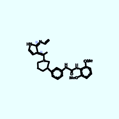 C=C/N=C1/NC=C/C1=C(/C)N1CCCC(c2cccc(NC(=O)Nc3c(OC)cccc3OC)c2)C1